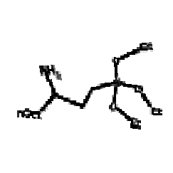 CCCCCCCCC(N)CC[Si](OCC)(OCC)OCC